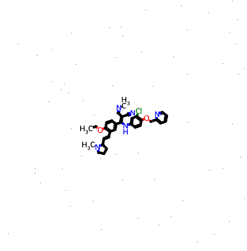 CCOc1ccc(/C(Nc2ccc(OCc3ccccn3)c(Cl)c2)=C(C#N)\C=N/C)cc1/C=C/C1CCCN1C